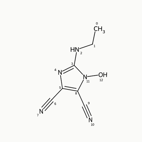 CCNc1nc(C#N)c(C#N)n1O